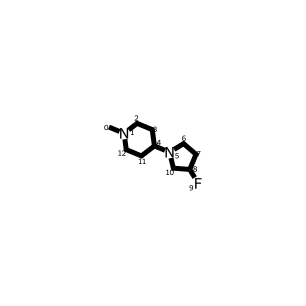 CN1CCC(N2CCC(F)C2)CC1